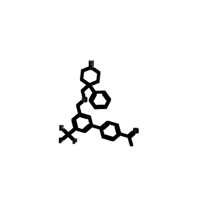 CC(=O)c1ccc(-c2cc(COCC3(c4ccccc4)CCNCC3)cc(C(F)(F)F)c2)cc1